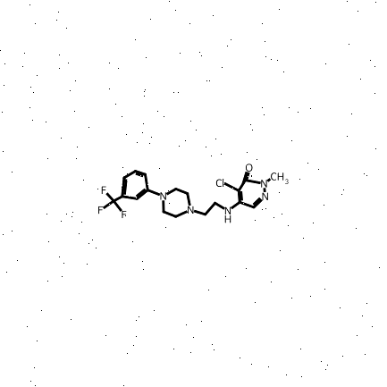 Cn1ncc(NCCN2CCN(c3cccc(C(F)(F)F)c3)CC2)c(Cl)c1=O